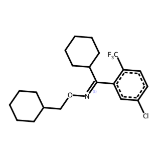 FC(F)(F)c1ccc(Cl)cc1/C(=N/OCC1CCCCC1)C1CCCCC1